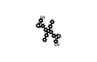 CC12CCCCC1(C)N(c1ccc(C#N)cc1)c1ccc(-c3ccc4c(-c5ccc(-c6ccccc6)cc5)c5cc(-c6ccc7c(c6)C6(C)CCCCC6(C)N7c6ccc(C#N)cc6)ccc5c(-c5ccc(-c6ccccc6)cc5)c4c3)cc12